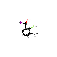 O=Nc1cccc(C(=O)I)c1F